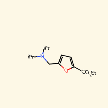 CCOC(=O)c1ccc(CN(C(C)C)C(C)C)o1